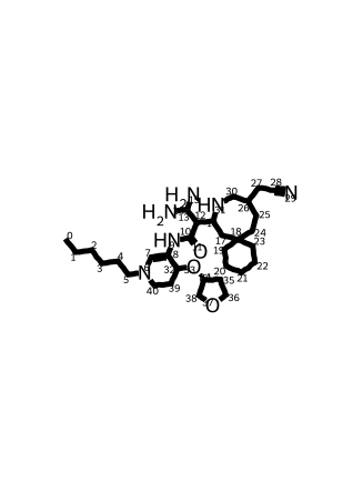 CCCCCCN1C=C(NC(=O)C(C(N)N)C2CC3(CCCCC3)CCC(CC#N)CN2)C(O[C@H]2CCOC2)CC1